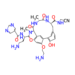 C[C@H]1NC(=O)[C@H](N(C)C(=O)[C@@H](CCN)NC(=O)c2cncnc2)c2ccc(OCCN)c(c2)-c2cc(ccc2O)C[C@H](C(=O)NCC#N)NC1=O